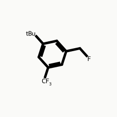 CC(C)(C)c1cc(CF)cc(C(F)(F)F)c1